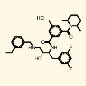 CCc1cccc(CNC[C@@H](O)[C@H](Cc2cc(F)cc(F)c2)NC(=O)c2cc(C)cc(C(=O)N3C(C)CCCC3C)c2)c1.Cl